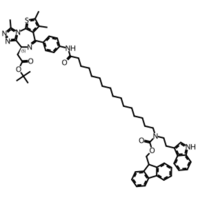 Cc1sc2c(c1C)C(c1ccc(NC(=O)CCCCCCCCCCCCCCCN(CCc3c[nH]c4ccccc34)C(=O)OCC3c4ccccc4-c4ccccc43)cc1)=N[C@@H](CC(=O)OC(C)(C)C)c1nnc(C)n1-2